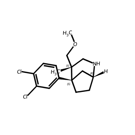 COC[C@]1(C)CN[C@@H]2CC[C@@]1(c1ccc(Cl)c(Cl)c1)C2